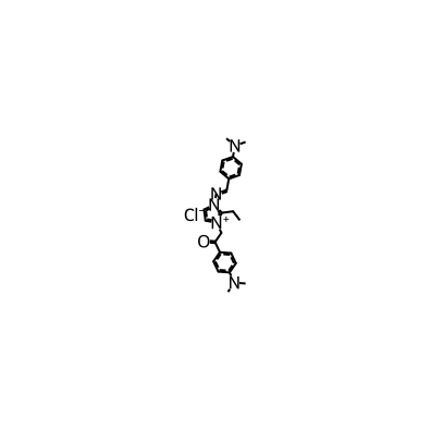 CCc1n(N=Cc2ccc(N(C)C)cc2)cc[n+]1CC(=O)c1ccc(N(C)C)cc1.[Cl-]